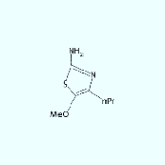 CCCc1nc(N)sc1OC